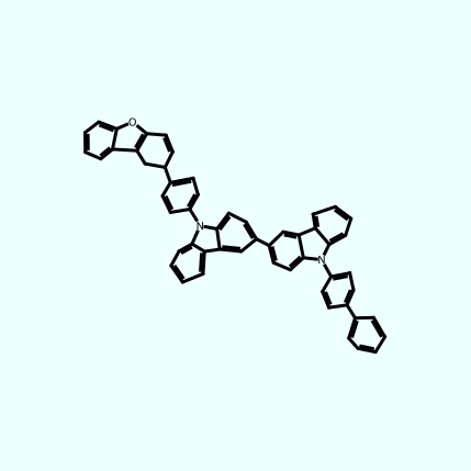 C1=CC(c2ccc(-n3c4ccccc4c4cc(-c5ccc6c(c5)c5ccccc5n6-c5ccc(-c6ccccc6)cc5)ccc43)cc2)Cc2c1oc1ccccc21